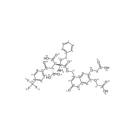 N[N+](OCc1ccccc1)(C(=O)OCc1cc(=O)oc2cc(OCC(=O)O)c(OCC(=O)O)cc12)[C@H](C(=O)O)[C@H](C(=O)O)C(=O)c1ccc(C(F)(F)F)cc1